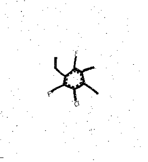 CCc1c(F)c(C)c(C)c(Cl)c1F